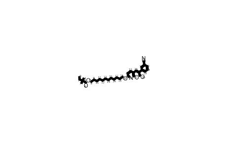 CCC(C)(C)C(=O)OCCCCCCCCCCCCOc1ccc2cc(-c3cccc(C#N)c3)c(=O)oc2n1